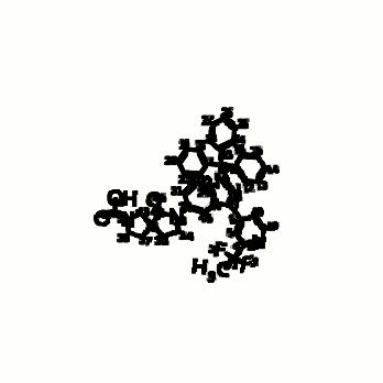 CC(F)(F)c1cc(-c2nn(C(c3ccccc3)(c3ccccc3)c3ccccc3)c3ccc(N4CCC5(CCN(C(=O)O)C5)C4=O)cc23)ccn1